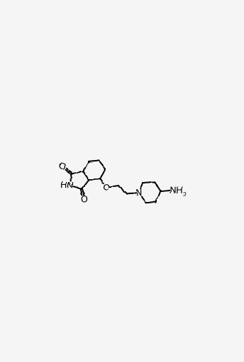 NC1CCN(CCOC2CCCC3C(=O)NC(=O)C23)CC1